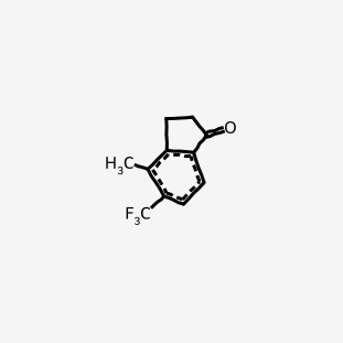 Cc1c(C(F)(F)F)ccc2c1CCC2=O